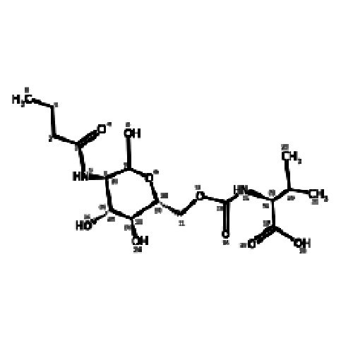 CCCC(=O)N[C@H]1C(O)O[C@H](COC(=O)N[C@H](C(=O)O)C(C)C)[C@@H](O)[C@@H]1O